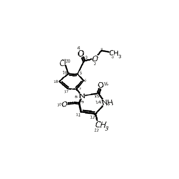 CCOC(=O)c1cc(-n2c(=O)cc(C)[nH]c2=O)ccc1Cl